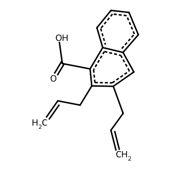 C=CCc1cc2ccccc2c(C(=O)O)c1CC=C